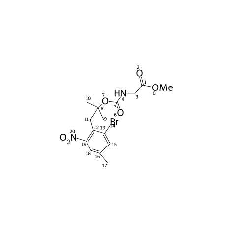 COC(=O)CNC(=O)OC(C)(C)Cc1c(Br)cc(C)cc1[N+](=O)[O-]